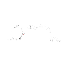 CO[C@H]1C[C@@H]2CC[C@@H](C)[C@@](O)(O2)C(=O)C(=O)N2CCCC[C@H]2C(=O)O[C@H]([C@H](C)C[C@@H]2CC[C@@H](OC(=O)NCc3cnc(N4CCN(c5ncc(C(=O)N6CCN(c7ncc(C(=O)NCCCCn8nc(-c9ccc%10oc(N)nc%10c9)c9c(N)ncnc98)cn7)CC6)cn5)CC4)nc3)[C@H](OC)C2)CC(=O)[C@H](C)/C=C(\C)[C@@H](O)[C@@H](O)C(=O)[C@H](C)C[C@H](C)/C=C/C=C/C=C/1C